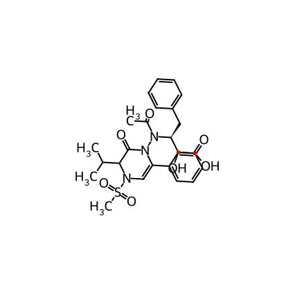 CC(=O)N([C@@H](Cc1ccccc1)C(O)C(=O)O)N1C(=O)C(C(C)C)N(S(C)(=O)=O)C=C1c1ccccc1